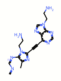 C=N/C=N\c1c(C)nc(C#Cc2ncnc3c2ncn3CCN)n1CCN